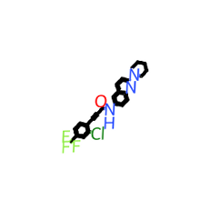 O=C(C#Cc1ccc(C(F)(F)F)cc1Cl)Nc1ccc2nc(N3CCCCC3)ccc2c1